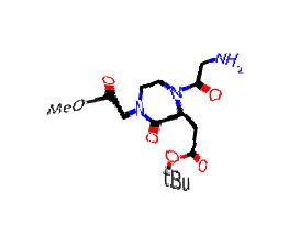 COC(=O)CN1CCN(C(=O)CN)C(CC(=O)OC(C)(C)C)C1=O